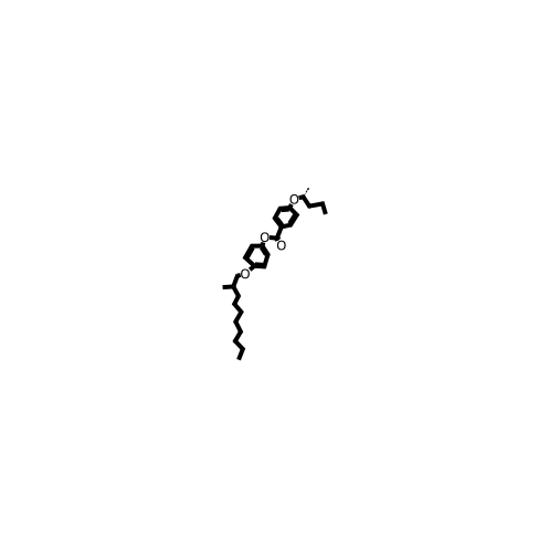 CCCCCCCCC(C)COc1ccc(OC(=O)c2ccc(O[C@H](C)CCC)cc2)cc1